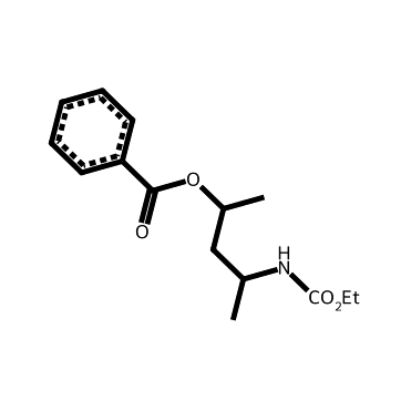 CCOC(=O)NC(C)CC(C)OC(=O)c1ccccc1